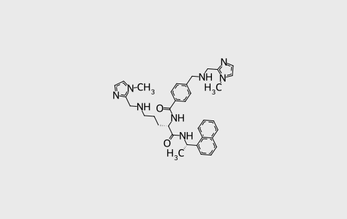 C[C@H](NC(=O)[C@H](CCCNCc1nccn1C)NC(=O)c1ccc(CNCc2nccn2C)cc1)c1cccc2ccccc12